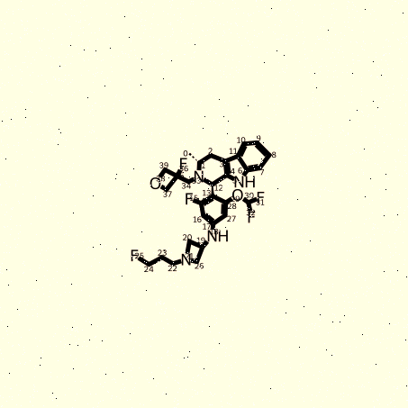 C[C@@H]1Cc2c([nH]c3ccccc23)[C@@H](c2c(F)cc(NC3CN(CCCF)C3)cc2OC(F)F)N1CC1(F)COC1